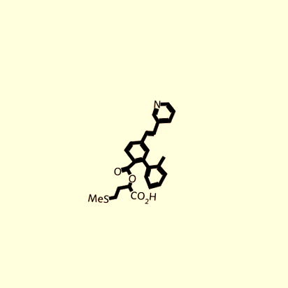 CSCCC(OC(=O)c1ccc(C=Cc2cccnc2)cc1-c1ccccc1C)C(=O)O